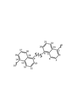 Ic1cccc2c(SSc3cccc4c(I)cccc34)cccc12